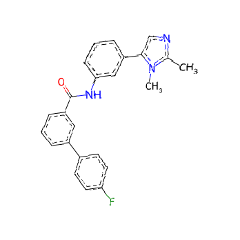 Cc1ncc(-c2cccc(NC(=O)c3cccc(-c4ccc(F)cc4)c3)c2)n1C